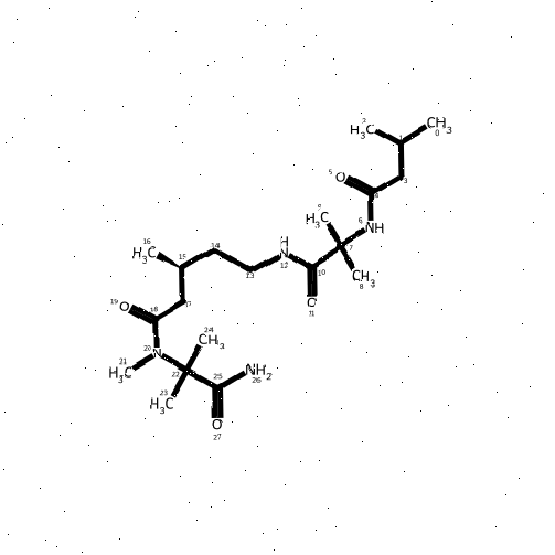 CC(C)CC(=O)NC(C)(C)C(=O)NCC[C@H](C)CC(=O)N(C)C(C)(C)C(N)=O